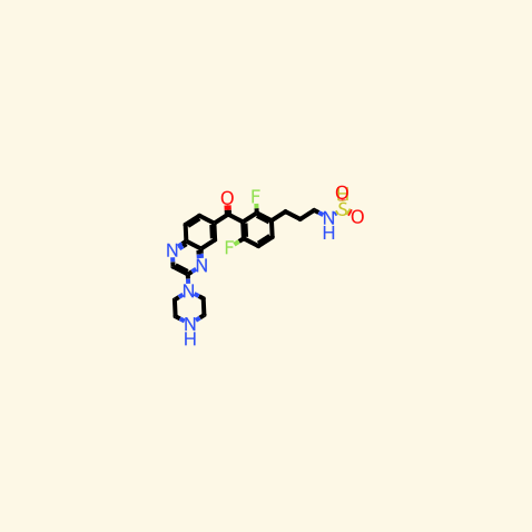 O=C(c1ccc2ncc(N3CCNCC3)nc2c1)c1c(F)ccc(CCCN[SH](=O)=O)c1F